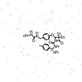 CCCNC(=O)NCc1ccc(O[C@@H]2N(C(=O)N[C@H](CCC)c3ccc(C)cc3)C(=O)C2(CC)CC)cc1